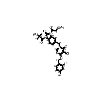 CNCC(=O)n1c(=O)n(C(=O)C(C)(C)O)c2ccc(Cn3cnc(OCc4ccc(F)cc4F)c(Cl)c3=O)cc21